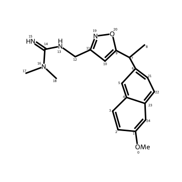 COc1ccc2cc(C(C)c3cc(CNC(=N)N(C)C)no3)ccc2c1